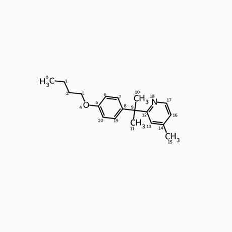 CCCCOc1ccc(C(C)(C)c2cc(C)ccn2)cc1